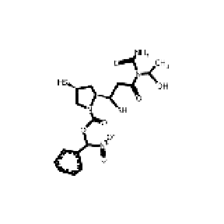 CC(O)N(C(N)=O)C(=O)CC(S)[C@@H]1C[C@H](S)CN1C(=O)OC(c1ccccc1)[N+](=O)[O-]